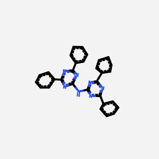 c1ccc(-c2nc(Nc3nc(-c4ccccc4)nc(-c4ccccc4)n3)nc(-c3ccccc3)n2)cc1